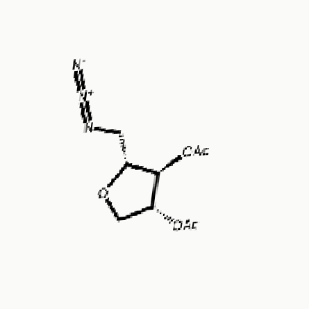 CC(=O)O[C@@H]1[C@@H](CN=[N+]=[N-])OC[C@H]1OC(C)=O